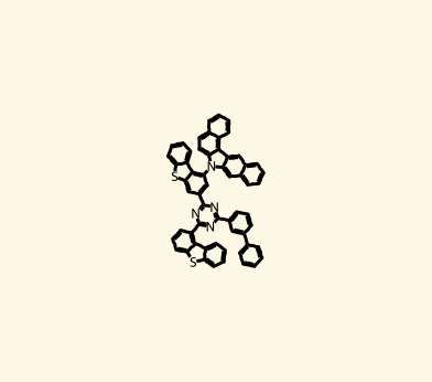 c1ccc(-c2cccc(-c3nc(-c4cc(-n5c6cc7ccccc7cc6c6c7ccccc7ccc65)c5c(c4)sc4ccccc45)nc(-c4cccc5sc6ccccc6c45)n3)c2)cc1